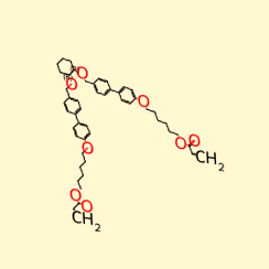 C=CC(=O)OCCCCCCOc1ccc(-c2ccc(CO[C@@H]3CCCC[C@H]3OCc3ccc(-c4ccc(OCCCCCCOC(=O)C=C)cc4)cc3)cc2)cc1